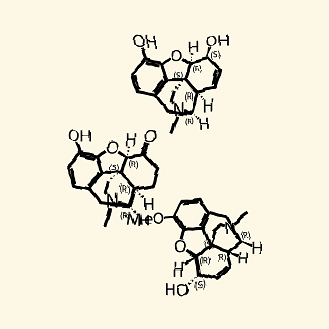 CN1CC[C@]23c4c5ccc(O)c4O[C@H]2C(=O)CC[C@H]3[C@H]1C5.CN1CC[C@]23c4c5ccc(O)c4O[C@H]2[C@@H](O)C=C[C@H]3[C@H]1C5.COc1ccc2c3c1O[C@H]1[C@@H](O)C=C[C@H]4[C@@H](C2)N(C)CC[C@@]341